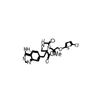 COC(=O)C1(Cc2ccc3c(N)ncnc3c2)CNCC(=O)N1C(=O)COc1ccc(Cl)s1